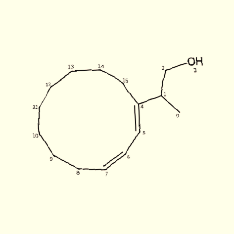 CC(CO)C1=CC=CCCCCCCCC1